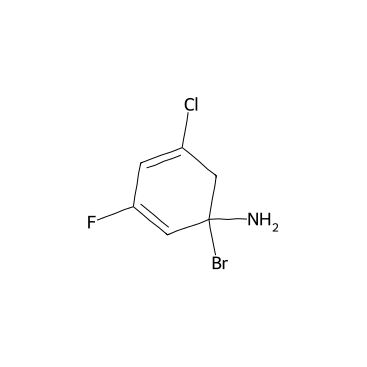 NC1(Br)C=C(F)C=C(Cl)C1